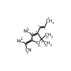 C/C=C/C1=C(C#N)C(=C(C#N)C#N)OC1(C)C